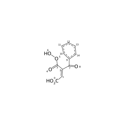 O=C(O)/C=C(\C(=O)OO)C(=O)c1ccccc1